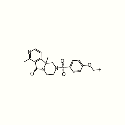 Cc1nccc2c1C(=O)N1CCN(S(=O)(=O)c3ccc(OCF)cc3)CC21C